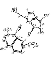 CC(C)n1nc(Br)c2ccc(CO)cc2c1=O.CCOC(=O)c1ccc2c(Br)nn(C(C)C)c(=O)c2c1